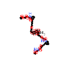 C=C(C)C(=O)OCCNC(=O)OCC(=O)CCCCC1CC(C)(C)CC(C)(CNC(=O)OCCOCCC[Si](C)(C)O[SiH2][Si](=O)[Si](=O)[Si](=O)[Si](=O)[Si](=O)[Si](C)(C)O[Si](C)(C)CCCOCCCCCCC(=O)C2(C)CC(NC(=O)COC(=O)CCOC(=O)C(=C)C)CC(C)(C)C2)C1